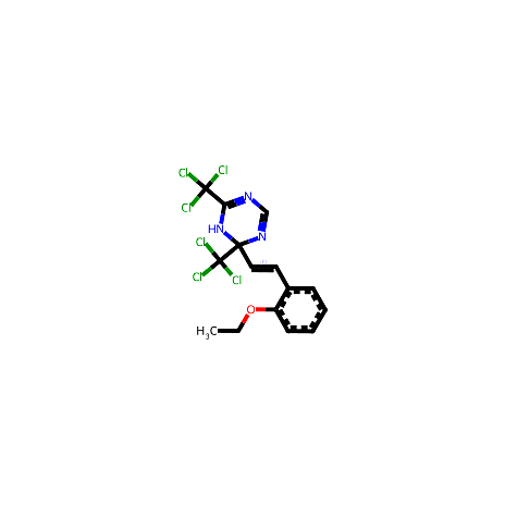 CCOc1ccccc1/C=C/C1(C(Cl)(Cl)Cl)N=CN=C(C(Cl)(Cl)Cl)N1